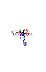 CCc1c(C(=O)OC(C)(C)C)[nH]c(CNCCn2cncn2)c1C(=O)OC